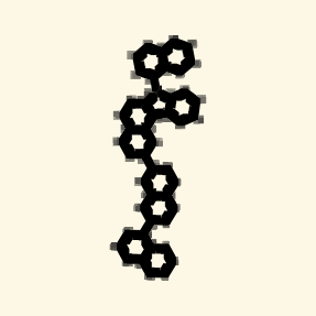 c1ccc2c(-c3ccc4ccc(-c5ccc6ccc7c(c6c5)c5ccccc5n7-c5cccc6ccccc56)cc4c3)cccc2c1